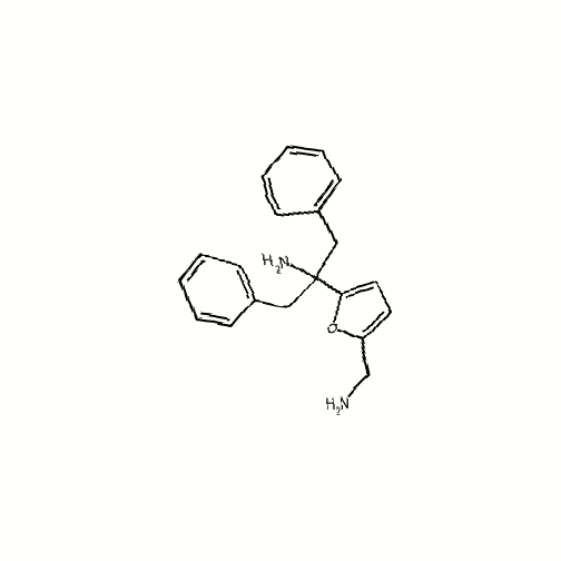 NCc1ccc(C(N)(Cc2ccccc2)Cc2ccccc2)o1